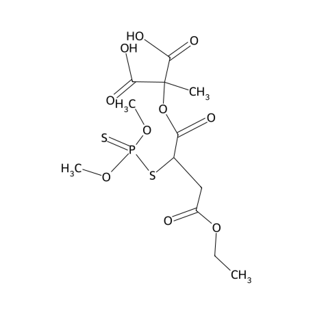 CCOC(=O)CC(SP(=S)(OC)OC)C(=O)OC(C)(C(=O)O)C(=O)O